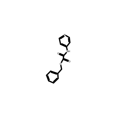 O=C(Nc1ccncc1)C(=O)OCc1ccccc1